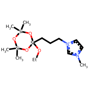 CCO[Si]1(CCC[n+]2ccn(C)c2)O[Si](C)(C)O[Si](C)(C)O1